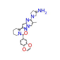 Cc1cn2nc([C@@H]3CCCCN3C(=O)c3ccc4c(c3)OC=CO4)cc2nc1N1CC[C@H](N)C1